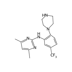 Cc1cc(C)nc(Nc2cc(C(F)(F)F)ccc2N2CCNCC2)n1